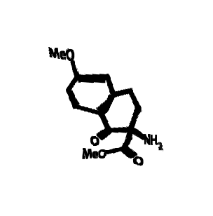 COC(=O)C1(N)CCc2cc(OC)ccc2C1=O